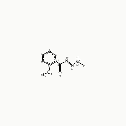 CCOc1ccccc1C(=O)N=N[SiH2]C